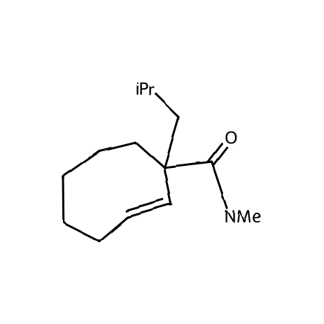 CNC(=O)C1(CC(C)C)/C=C/CCCCC1